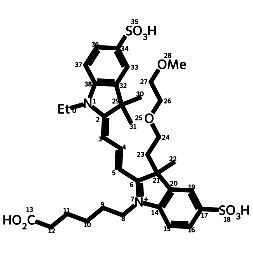 CCN1/C(=C/C=C/C2=[N+](CCCCCC(=O)O)c3ccc(S(=O)(=O)O)cc3C2(C)CCOCCOC)C(C)(C)c2cc(S(=O)(=O)O)ccc21